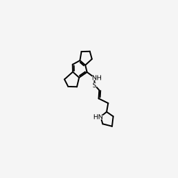 C(=C\SNc1c2c(cc3c1CCC3)CCC2)/CC1CCCN1